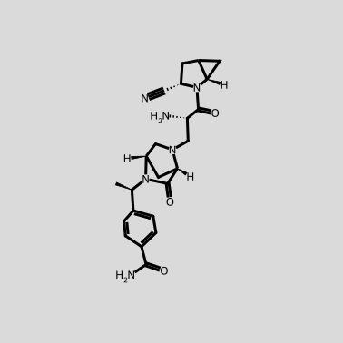 C[C@H](c1ccc(C(N)=O)cc1)N1C(=O)[C@@H]2C[C@H]1CN2C[C@H](N)C(=O)N1[C@H](C#N)CC2C[C@@H]21